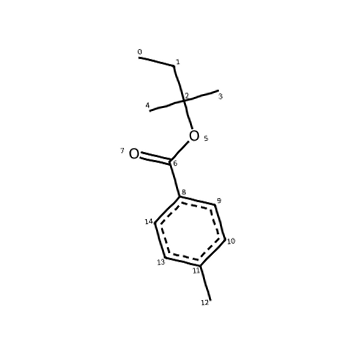 CCC(C)(C)OC(=O)c1ccc(C)cc1